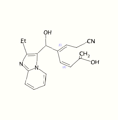 C=C(O)/C=C\C(=C/CC#N)C(O)c1c(CC)nc2ccccn12